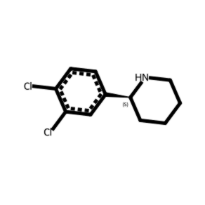 Clc1ccc([C@@H]2CCCCN2)cc1Cl